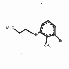 COCCNc1cccc(Br)c1C